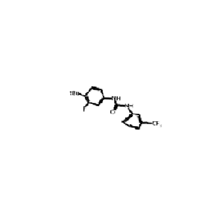 CC(C)(C)c1ccc(NC(=O)Nc2cccc(C(F)(F)F)c2)cc1F